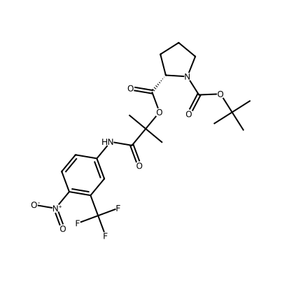 CC(C)(C)OC(=O)N1CCC[C@H]1C(=O)OC(C)(C)C(=O)Nc1ccc([N+](=O)[O-])c(C(F)(F)F)c1